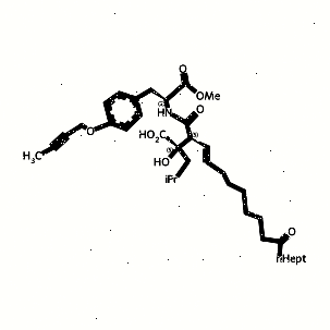 CC#CCOc1ccc(C[C@H](NC(=O)[C@@H](C=CCCCCCCC(=O)CCCCCCC)[C@@](O)(CC(C)C)C(=O)O)C(=O)OC)cc1